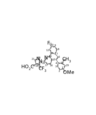 COc1ccc(C=Cc2ccc(F)cc2-c2cccc(-n3ncc(C(=O)O)c3C(F)(F)F)n2)c(C)c1